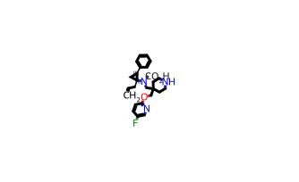 C=CC[C@@]1(N(CC2(COc3ccc(F)cn3)CCNCC2)C(=O)O)C[C@H]1c1ccccc1